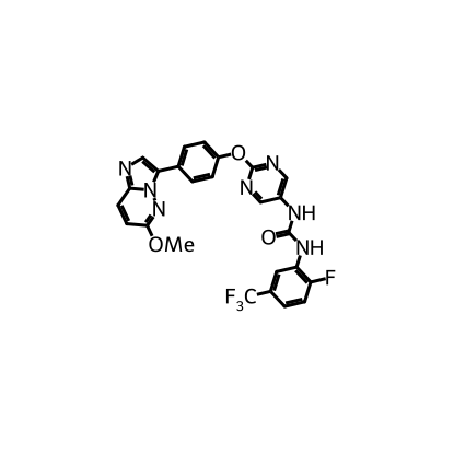 COc1ccc2ncc(-c3ccc(Oc4ncc(NC(=O)Nc5cc(C(F)(F)F)ccc5F)cn4)cc3)n2n1